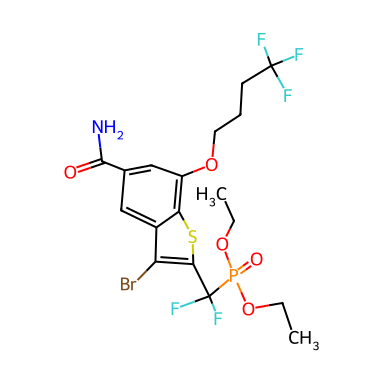 CCOP(=O)(OCC)C(F)(F)c1sc2c(OCCCC(F)(F)F)cc(C(N)=O)cc2c1Br